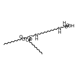 CCCCCCCCCCCC(=O)OCC(CSCCCNCCCCCCCCCCCCCNCCNOOO)OC(=O)CCCCCCCCCCC